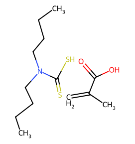 C=C(C)C(=O)O.CCCCN(CCCC)C(=S)S